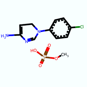 COS(=O)(=O)O.NC1=CCN(c2ccc(Cl)cc2)C=N1